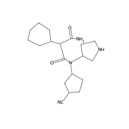 N#CC1CCC(N(C(=O)C(C(N)=O)C2CCCCC2)C2CCNC2)C1